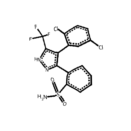 NS(=O)(=O)c1ccccc1-c1n[nH]c(C(F)(F)F)c1-c1cc(Cl)ccc1Cl